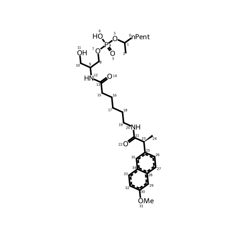 CCCCCC(C)OP(=O)(O)OCC(CO)NC(=O)CCCCCNC(=O)[C@@H](C)c1ccc2cc(OC)ccc2c1